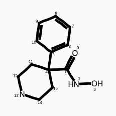 O=C(NO)C1(c2ccccc2)CC[N]CC1